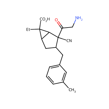 CCC1(C(=O)O)C2CC(Cc3cccc(C)c3)C(C#N)(C(=O)CN)C21